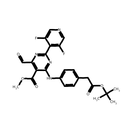 COC(=O)c1c(C=O)nc(-c2c(F)cncc2F)nc1Nc1ccc(CC(=O)OC(C)(C)C)cc1